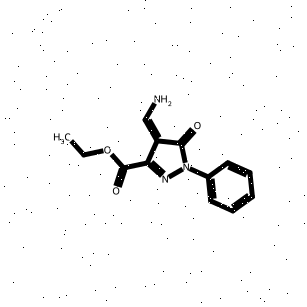 CCOC(=O)C1=NN(c2ccccc2)C(=O)C1=CN